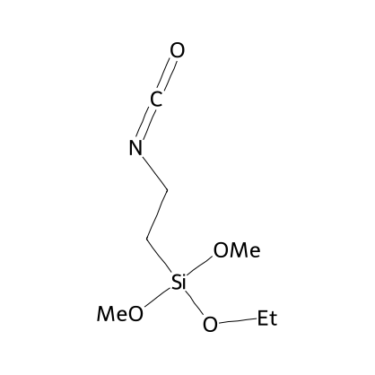 CCO[Si](CCN=C=O)(OC)OC